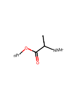 CCCOC(=O)C(C)[N]C